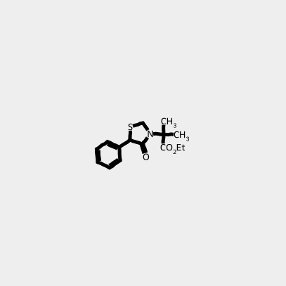 CCOC(=O)C(C)(C)N1CSC(c2ccccc2)C1=O